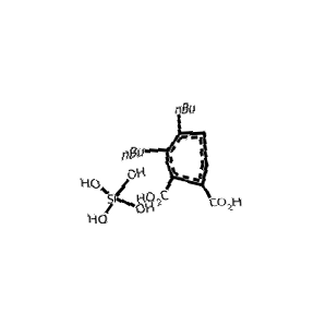 CCCCc1ccc(C(=O)O)c(C(=O)O)c1CCCC.O[Si](O)(O)O